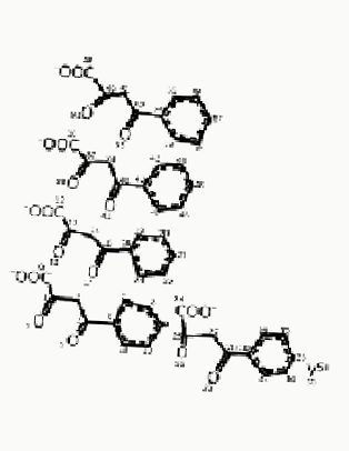 O=C([O-])C(=O)CC(=O)c1ccccc1.O=C([O-])C(=O)CC(=O)c1ccccc1.O=C([O-])C(=O)CC(=O)c1ccccc1.O=C([O-])C(=O)CC(=O)c1ccccc1.O=C([O-])C(=O)CC(=O)c1ccccc1.[V+5]